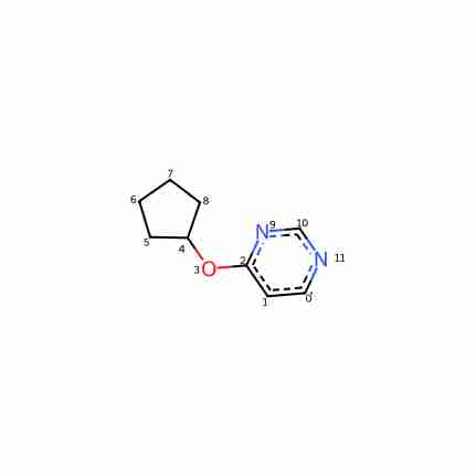 [c]1cc(OC2CCCC2)ncn1